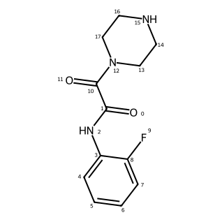 O=C(Nc1ccccc1F)C(=O)N1CCNCC1